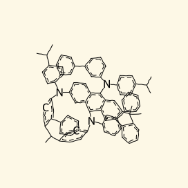 CC(C)c1ccc(N2c3ccc(c(-c4ccccc4)c3)C(C)c3ccc(cc3)N(c3cccc(-c4ccccc4)c3)c3c4cc2ccc4c(N(c2ccc(C(C)C)cc2)c2cccc(-c4ccccc4)c2)c2cc4c(cc32)-c2ccccc2C4(C)C)cc1